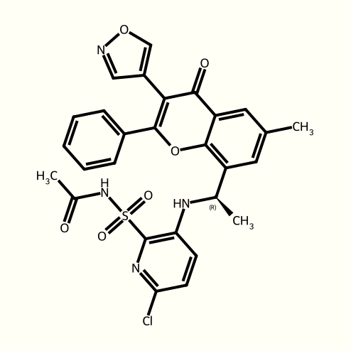 CC(=O)NS(=O)(=O)c1nc(Cl)ccc1N[C@H](C)c1cc(C)cc2c(=O)c(-c3cnoc3)c(-c3ccccc3)oc12